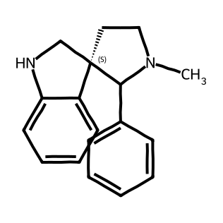 CN1CC[C@]2(CNc3ccccc32)C1c1ccccc1